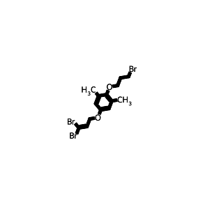 Cc1cc(OCC=C(Br)Br)cc(C)c1OCCCBr